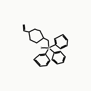 C=CC1CCC(CP(I)(c2ccccc2)(c2ccccc2)c2ccccc2)CC1